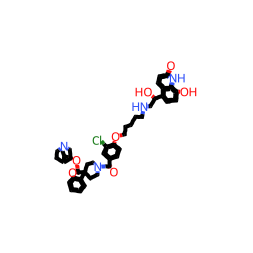 O=C(c1ccc(OCCCCCNCC(O)c2ccc(O)c3[nH]c(=O)ccc23)c(Cl)c1)N1CCC(C(=O)OC2CN3CCC2CC3)(c2ccccc2)CC1